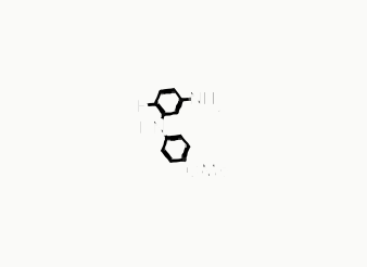 COc1ccc(Nc2cc(N)ccc2F)cc1